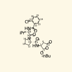 CCCCO[C@H]1OC(=O)C[C@@H]1NC(=O)[C@@H]1CCCN1C(=O)[C@@H](NC(=O)c1ccccc1Cl)C(C)C